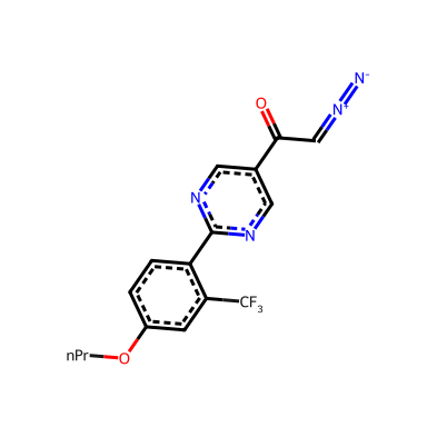 CCCOc1ccc(-c2ncc(C(=O)C=[N+]=[N-])cn2)c(C(F)(F)F)c1